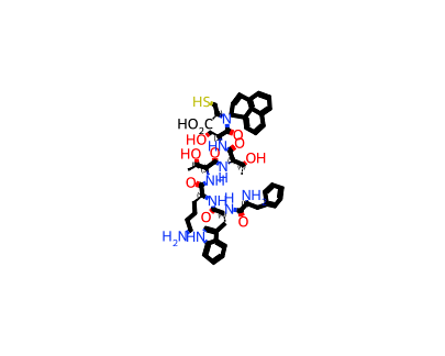 C[C@@H](O)[C@H](NC(=O)[C@H](CCCCN)NC(=O)[C@@H](Cc1c[nH]c2ccccc12)NC(=O)[C@@H](N)Cc1ccccc1)C(=O)N[C@H](C(=O)N[C@@H](CO)C(=O)N(C1C=Cc2cccc3cccc1c23)[C@@H](CS)C(=O)O)[C@@H](C)O